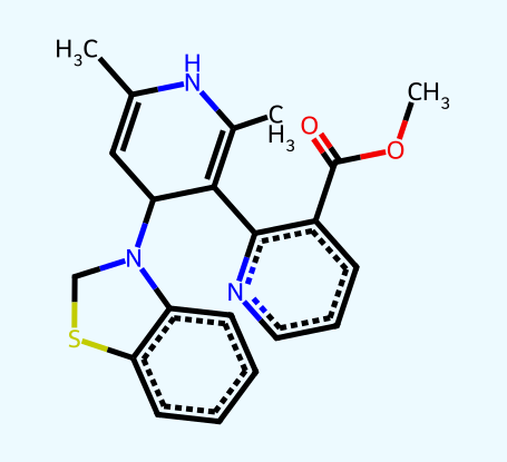 COC(=O)c1cccnc1C1=C(C)NC(C)=CC1N1CSc2ccccc21